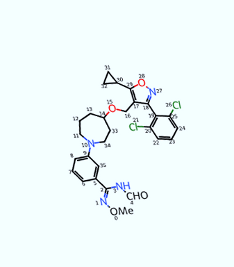 CO/N=C(\NC=O)c1cccc(N2CCCC(OCc3c(-c4c(Cl)cccc4Cl)noc3C3CC3)CC2)c1